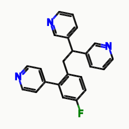 Fc1ccc(CC(c2cccnc2)c2cccnc2)c(-c2ccncc2)c1